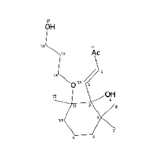 CC(=O)/C=C/C1(O)C(C)(C)CCCC1(C)OCCCO